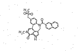 Cn1cc2c3c(c[nH]c3c1=O)CN(C(=O)c1ccc3ccccc3c1)c1ccc(CS(C)(=O)=O)cc1-2